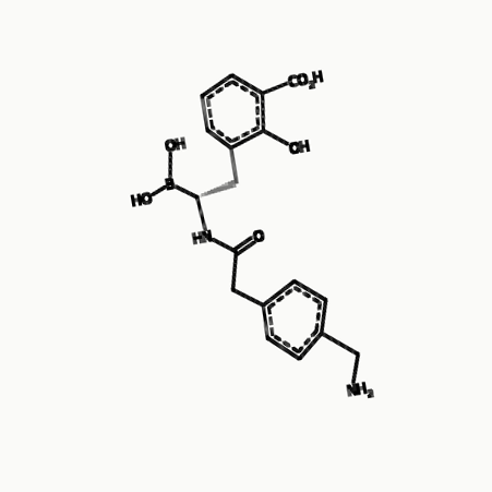 NCc1ccc(CC(=O)N[C@@H](Cc2cccc(C(=O)O)c2O)B(O)O)cc1